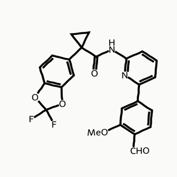 COc1cc(-c2cccc(NC(=O)C3(c4ccc5c(c4)OC(F)(F)O5)CC3)n2)ccc1C=O